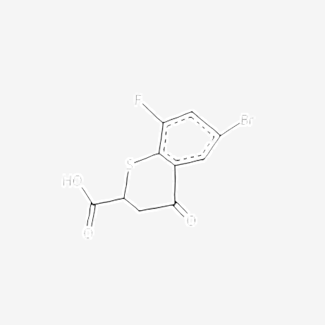 O=C1CC(C(=O)O)Sc2c(F)cc(Br)cc21